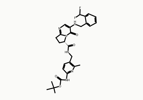 Cc1nc(NC(=O)OC(C)(C)C)ccc1CNC(=O)[C@@H]1CCc2ncc(NCc3ccccc3C(F)F)c(=O)n21